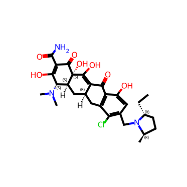 CC[C@@H]1CC[C@@H](C)N1Cc1cc(O)c2c(c1Cl)C[C@H]1C[C@H]3[C@H](N(C)C)C(O)=C(C(N)=O)C(=O)[C@@]3(O)C(O)=C1C2=O